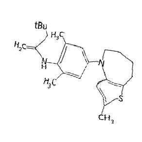 C=C(CC(C)(C)C)Nc1c(C)cc(N2CCCCc3sc(C)cc32)cc1C